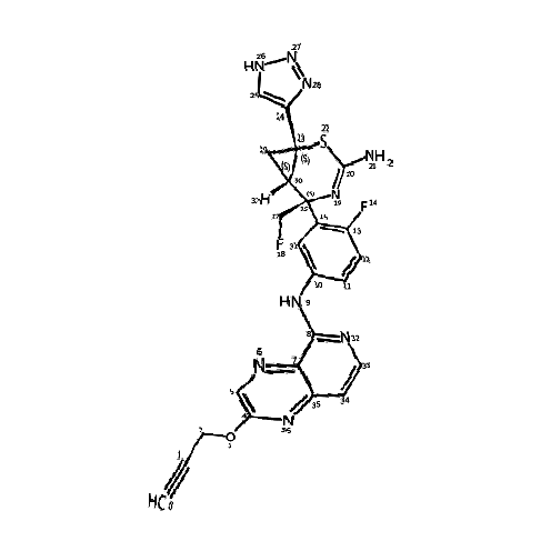 C#CCOc1cnc2c(Nc3ccc(F)c([C@@]4(CF)N=C(N)S[C@@]5(c6c[nH]nn6)C[C@@H]45)c3)nccc2n1